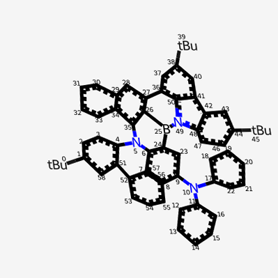 CC(C)(C)c1ccc(N2c3ccc(N(c4ccccc4)c4ccccc4)cc3B3c4c(cc5ccccc5c42)-c2cc(C(C)(C)C)cc4c5cc(C(C)(C)C)ccc5n3c24)c(-c2ccccc2)c1